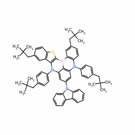 CC(C)(C)Cc1ccc(N2c3ccc(CC(C)(C)C)cc3B3c4sc5ccc(CC(C)(C)C)cc5c4N(c4ccc(CC(C)(C)C)cc4)c4cc(-n5c6ccccc6c6ccccc65)cc2c43)cc1